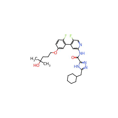 CC(C)(O)CCCOc1ccc(F)c(-c2cc(NC(=O)c3nnc(CC4CCCCC4)[nH]3)ncc2F)c1